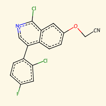 N#CCOc1ccc2c(-c3ccc(F)cc3Cl)cnc(Cl)c2c1